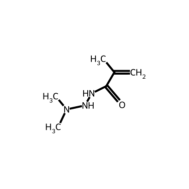 C=C(C)C(=O)NNN(C)C